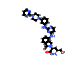 NC(=O)C(CCC=O)N1Cc2c(Nc3ccnc(Nc4cccc(N5CCN(c6ncccn6)CC5)c4)n3)cccc2C1=O